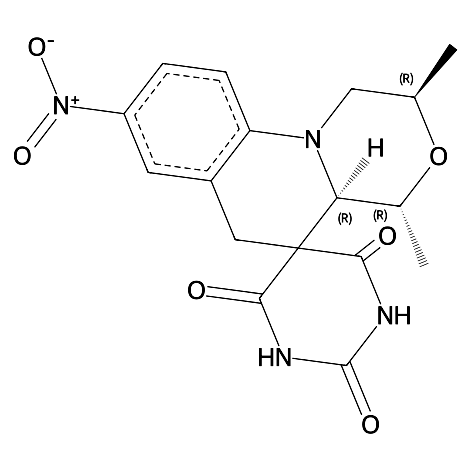 C[C@@H]1CN2c3ccc([N+](=O)[O-])cc3CC3(C(=O)NC(=O)NC3=O)[C@@H]2[C@@H](C)O1